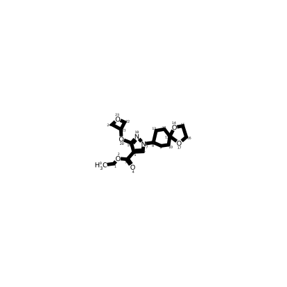 CCOC(=O)c1cn(C2CCC3(CC2)OCCO3)nc1OC1COC1